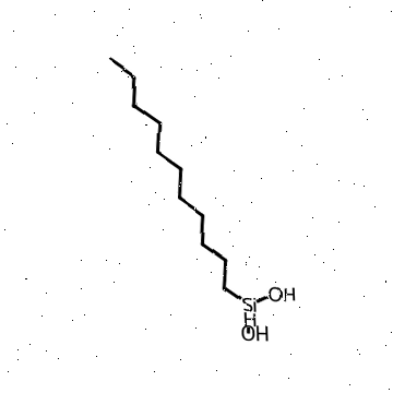 CCCCCCCCCCC[SiH](O)O